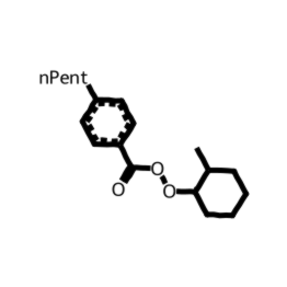 CCCCCc1ccc(C(=O)OO[C]2CCCCC2C)cc1